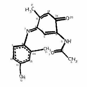 CC(=O)NC1=CC(=Nc2ccc(O)cc2C)C(C)=CC1=O